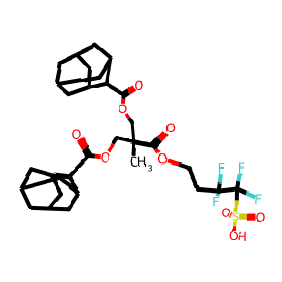 CC(COC(=O)C1C2CC3CC(C2)CC1C3)(COC(=O)C1C2CC3CC(C2)CC1C3)C(=O)OCCC(F)(F)C(F)(F)S(=O)(=O)O